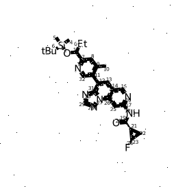 CCC(O[Si](C)(C)C(C)(C)C)c1cc(C)c(-c2cc3cnc(NC(=O)[C@H]4C[C@H]4F)cc3n3ncnc23)cn1